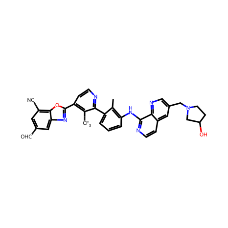 Cc1c(Nc2nccc3cc(CN4CCC(O)C4)cnc23)cccc1-c1nccc(-c2nc3cc(C=O)cc(C#N)c3o2)c1C(F)(F)F